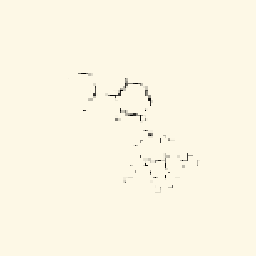 CCC(=O)c1cccc(B2OC(C)(C)C(C)(C)O2)c1